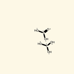 O=S(O)O.OP(O)O